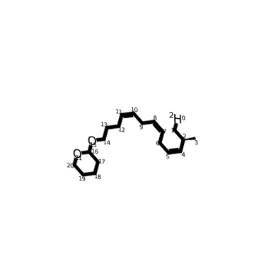 [2H]C[C@@H](C)/C=C\C/C=C\C/C=C\CCCOC1CCCCO1